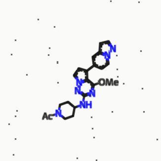 COc1nc(NC2CCN(C(C)=O)CC2)nn2ccc(-c3ccn4nccc4c3)c12